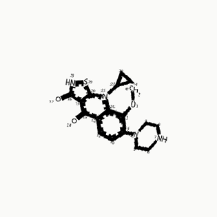 COc1c(N2CCNCC2)ccc2c(=O)c3c(=O)[nH]sc3n(C3CC3)c12